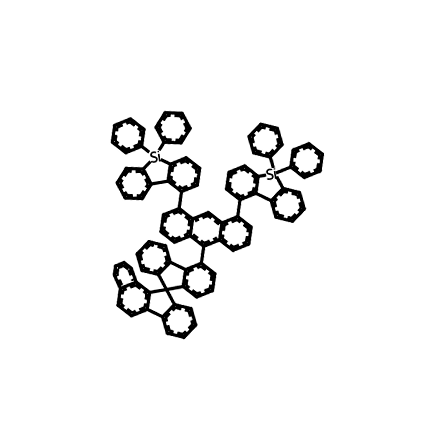 c1ccc([Si]2(c3ccccc3)c3ccccc3-c3c(-c4cccc5c(-c6cccc7c6-c6ccccc6C76c7ccccc7-c7ccc8ccccc8c76)c6cccc(-c7cccc8c7-c7ccccc7[Si]8(c7ccccc7)c7ccccc7)c6cc45)cccc32)cc1